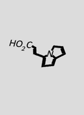 O=C(O)C=Cc1ccc2n1CC=C2